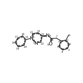 Cc1ccccc1CC(=O)N=c1ccn(-c2ccccc2)nc1